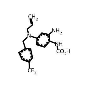 C=CCN(Cc1ccc(C(F)(F)F)cc1)c1ccc(NC(=O)O)c(N)c1